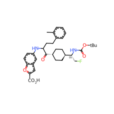 Cc1ccccc1CCC(Nc1ccc2oc(C(=O)O)cc2c1)C(=O)[C@H]1CC[C@H]([C@@H](CF)NC(=O)OC(C)(C)C)CC1